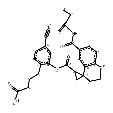 C=C(CC)NC(=O)c1ccc2c(c1)C1(CCO2)CC1C(=O)Nc1cc(C#N)ccc1CCCC(=O)O